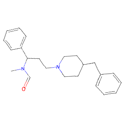 CN(C=O)C(CCN1CCC(Cc2ccccc2)CC1)c1ccccc1